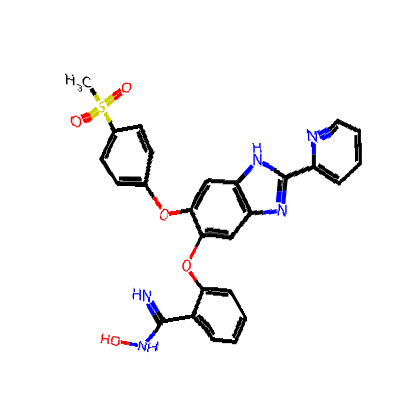 CS(=O)(=O)c1ccc(Oc2cc3[nH]c(-c4ccccn4)nc3cc2Oc2ccccc2C(=N)NO)cc1